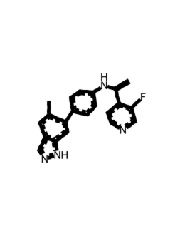 C=C(Nc1ccc(-c2cc3[nH]ncc3cc2C)cc1)c1ccncc1F